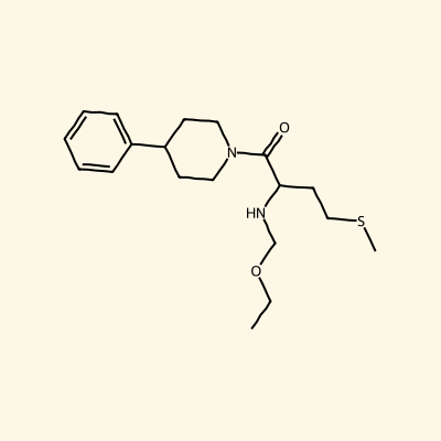 CCOCNC(CCSC)C(=O)N1CCC(c2ccccc2)CC1